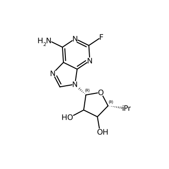 CC(C)[C@H]1O[C@@H](n2cnc3c(N)nc(F)nc32)C(O)C1O